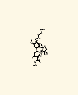 C=C1CC2c3cc(OC)c(OCCCOC)cc3[C@H]3CCC(C)(C)[C@H]3N2C=C1C(=C)OCC